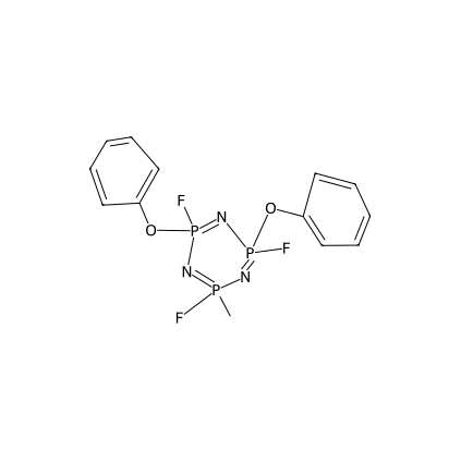 CP1(F)=NP(F)(Oc2ccccc2)=NP(F)(Oc2ccccc2)=N1